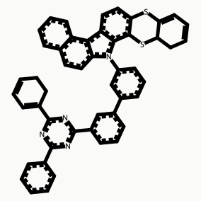 C1=CCCC(c2nc(-c3ccccc3)nc(-c3cccc(-c4cccc(-n5c6ccc7ccccc7c6c6ccc7c(c65)SC5CC=CC=C5S7)c4)c3)n2)=C1